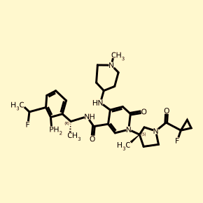 CC(F)c1cccc([C@@H](C)NC(=O)c2cn([C@@]3(C)CCN(C(=O)C4(F)CC4)C3)c(=O)cc2NC2CCN(C)CC2)c1P